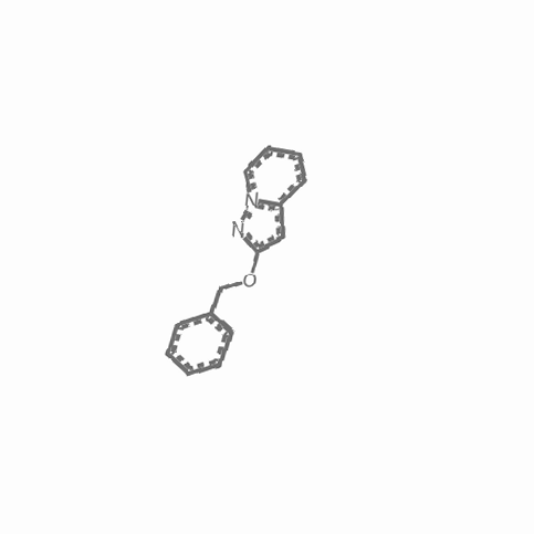 c1ccc(COc2cc3ccccn3n2)cc1